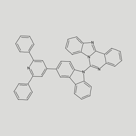 c1ccc(-c2cc(-c3ccc4c(c3)c3ccccc3n4-c3nc4ccccc4c4nc5ccccc5n34)cc(-c3ccccc3)n2)cc1